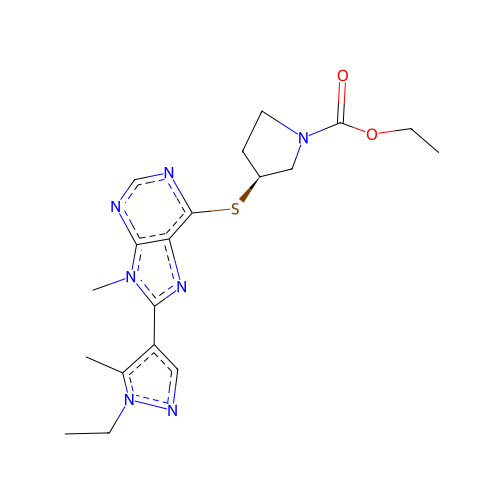 CCOC(=O)N1CC[C@H](Sc2ncnc3c2nc(-c2cnn(CC)c2C)n3C)C1